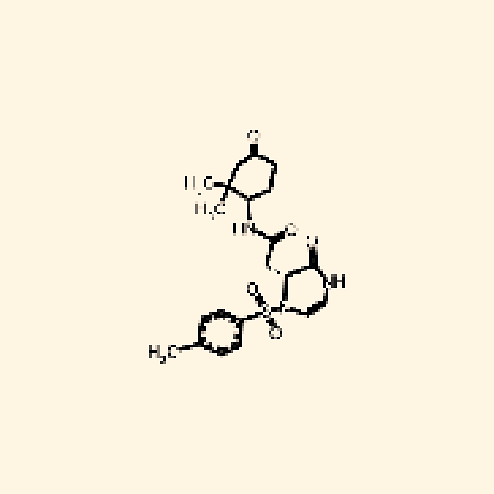 Cc1ccc(S(=O)(=O)N2C=CNC(=O)[C@H]2CC(=O)N[C@@H]2CCC(=O)CC2(C)C)cc1